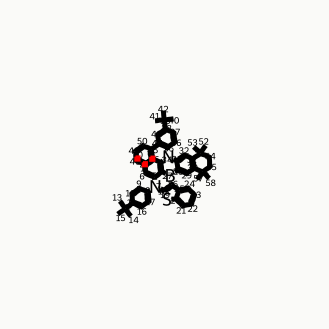 Cc1cc2c3c(c1)N(c1ccc(C(C)(C)C)cc1)c1sc4ccccc4c1B3c1cc3c(cc1N2c1ccc(C(C)(C)C)cc1-c1ccccc1)C(C)(C)CCC3(C)C